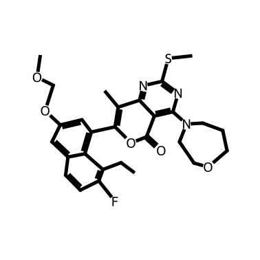 CCc1c(F)ccc2cc(OCOC)cc(-c3oc(=O)c4c(N5CCCOCC5)nc(SC)nc4c3C)c12